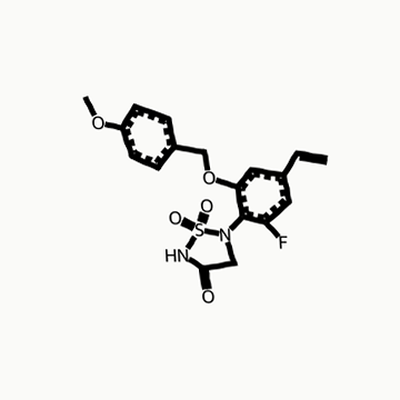 C=Cc1cc(F)c(N2CC(=O)NS2(=O)=O)c(OCc2ccc(OC)cc2)c1